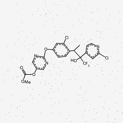 COC(=O)Oc1cnc(Oc2ccc(C(C)C(O)(c3ccnc(Cl)c3)C(F)(F)F)c(Cl)c2)nc1